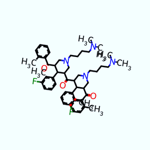 Cc1ccccc1C(=O)C1CN(CCCCN(C)C)CC(C(=O)C2CN(CCCCN(C)C)CC(C(=O)c3ccccc3C)C2c2cccc(F)c2C)C1c1cccc(F)c1C